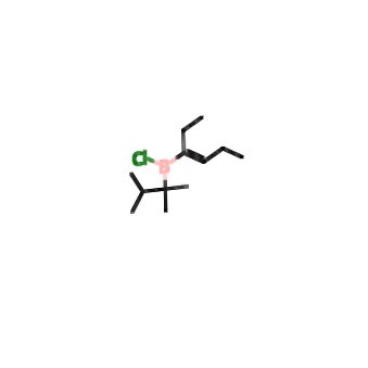 CCC=C(CC)B(Cl)C(C)(C)C(C)C